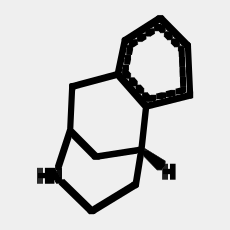 c1ccc2c(c1)CC1C[C@H]2CCN1